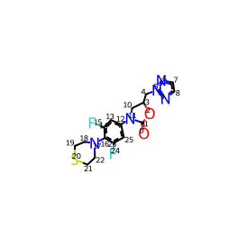 O=C1OC(Cn2nccn2)CN1c1cc(F)c(N2CCSCC2)c(F)c1